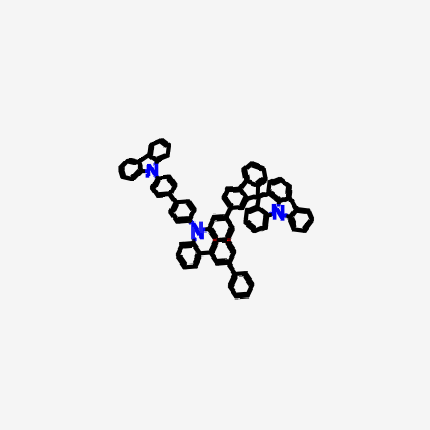 c1ccc(-c2cccc(-c3ccccc3N(c3ccc(-c4ccc(-n5c6ccccc6c6ccccc65)cc4)cc3)c3cccc(-c4ccc5c(c4)C4(c6ccccc6-5)c5ccccc5-n5c6ccccc6c6cccc4c65)c3)c2)cc1